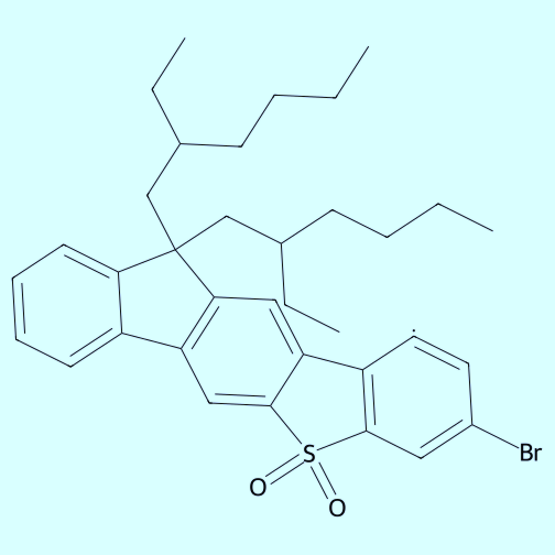 CCCCC(CC)CC1(CC(CC)CCCC)c2ccccc2-c2cc3c(cc21)-c1[c]cc(Br)cc1S3(=O)=O